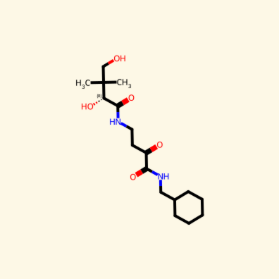 CC(C)(CO)[C@@H](O)C(=O)NCCC(=O)C(=O)NCC1CCCCC1